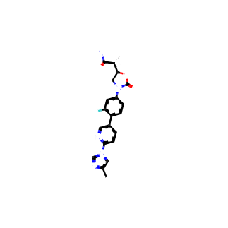 Cc1cn(-c2ccc(-c3ccc(N4CC([C@H](C)C(N)=O)OC4=O)cc3F)cn2)cn1